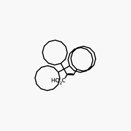 O=C(O)C(=CC1CCCCCCCCCCC1)C(C1CCCCCCCCCCC1)(C1CCCCCCCCCCC1)C1CCCCCCCCCCC1